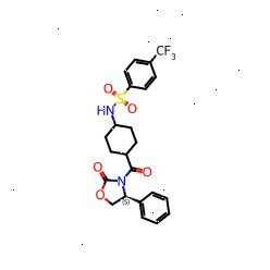 O=C1OC[C@H](c2ccccc2)N1C(=O)C1CCC(NS(=O)(=O)c2ccc(C(F)(F)F)cc2)CC1